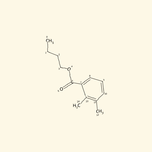 CCCCOC(=O)c1cccc(C)c1C